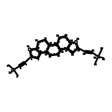 C[Si](C)(C)C#Cc1cc2c(ccc3c2ccc2c4cc(C#C[Si](C)(C)C)oc4ccc23)o1